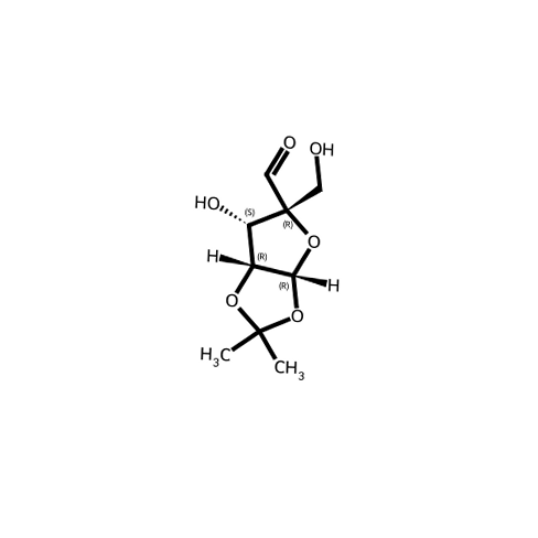 CC1(C)O[C@H]2O[C@](C=O)(CO)[C@@H](O)[C@H]2O1